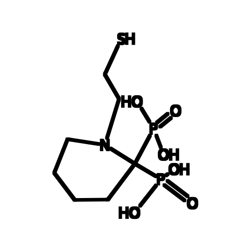 O=P(O)(O)C1(P(=O)(O)O)CCCCN1CCS